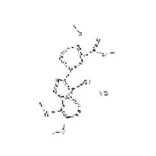 COC(=O)c1cc(-c2ncc3c(OC)c(OC)ccc3c2O)ccc1OC.Cl